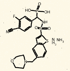 N.N.N#Cc1ccc(C(NS(=O)(=O)c2cc3cc(CN4CCOCC4)ccc3s2)P(=O)(O)O)cc1F